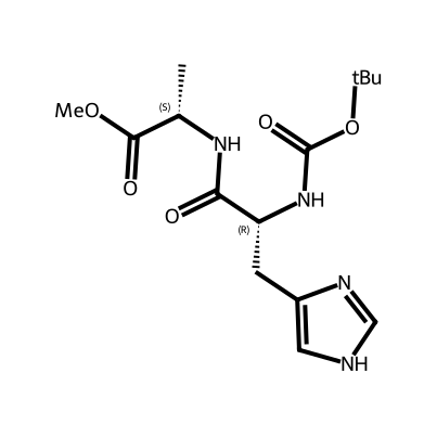 COC(=O)[C@H](C)NC(=O)[C@@H](Cc1c[nH]cn1)NC(=O)OC(C)(C)C